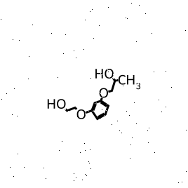 CC(O)COc1cccc(OCCO)c1